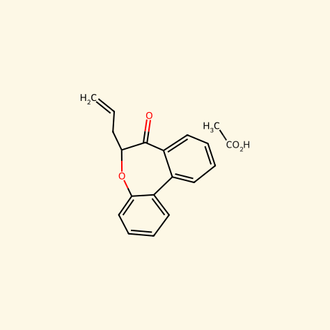 C=CCC1Oc2ccccc2-c2ccccc2C1=O.CC(=O)O